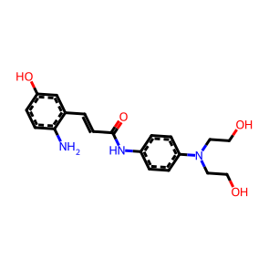 Nc1ccc(O)cc1C=CC(=O)Nc1ccc(N(CCO)CCO)cc1